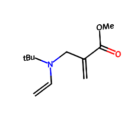 C=CN(CC(=C)C(=O)OC)C(C)(C)C